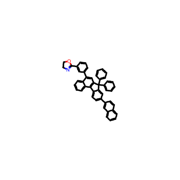 c1ccc(C2(c3ccccc3)c3cc(-c4ccc5ccccc5c4)ccc3-c3c2cc(-c2cccc(C4=NCCO4)c2)c2ccccc32)cc1